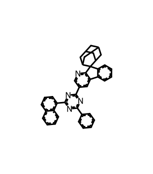 c1ccc(-c2nc(-c3cnc4c(c3)-c3ccccc3C43C4CC5CC(C4)CC3C5)nc(-c3cccc4ccccc34)n2)cc1